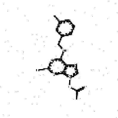 CC(=O)On1cnc2c(NCc3cccc(C)c3)nc(Cl)nc21